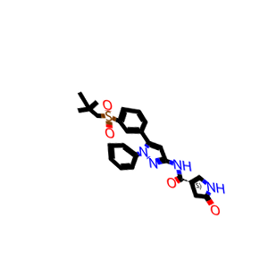 CC(C)(C)CS(=O)(=O)c1cccc(-c2cc(NC(=O)[C@@H]3CNC(=O)C3)nn2-c2ccccc2)c1